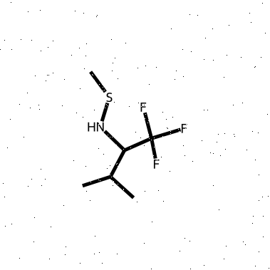 CSNC(C(C)C)C(F)(F)F